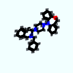 CC(N1CCN(N2c3ccccc3COc3ccccc32)CC1)N(Cc1ccccc1)Cc1ccccc1